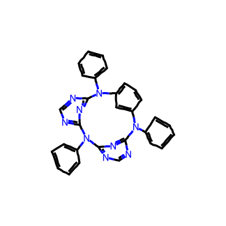 c1ccc(N2c3cccc(c3)N(c3ccccc3)c3ncnc(n3)N(c3ccccc3)c3ncnc2n3)cc1